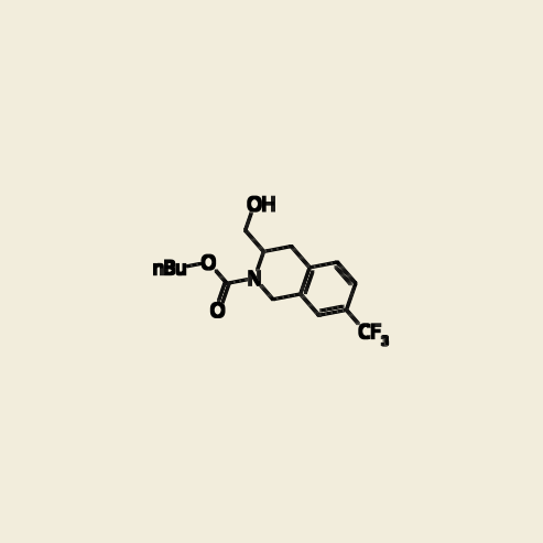 CCCCOC(=O)N1Cc2cc(C(F)(F)F)ccc2CC1CO